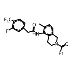 CCC(=O)N1CCc2c(ccc(C)c2NC(=O)Cc2ccc(C(F)(F)F)c(F)c2)C1